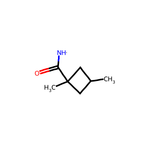 CC1CC(C)(C([NH])=O)C1